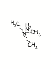 CCCCCN(CCCCC)C(N)CC